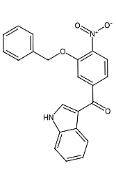 O=C(c1ccc([N+](=O)[O-])c(OCc2ccccc2)c1)c1c[nH]c2ccccc12